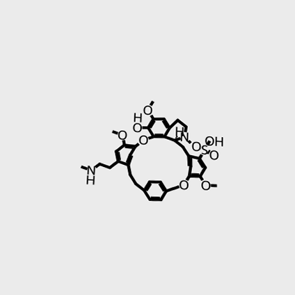 CNCCc1cc(OC)c2cc1CCc1ccc(cc1)Oc1cc(c(S(=O)(=O)O)cc1OC)C[C@H]1c3c(cc(OC)c(O)c3O2)CCN1C